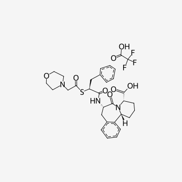 O=C(CN1CCOCC1)S[C@@H](Cc1ccccc1)C(=O)N[C@H]1Cc2ccccc2[C@H]2CCC[C@@H](C(=O)O)N2C1=O.O=C(O)C(F)(F)F